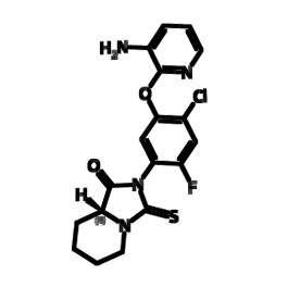 Nc1cccnc1Oc1cc(N2C(=O)[C@H]3CCCCN3C2=S)c(F)cc1Cl